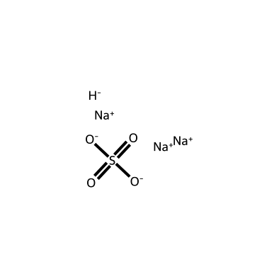 O=S(=O)([O-])[O-].[H-].[Na+].[Na+].[Na+]